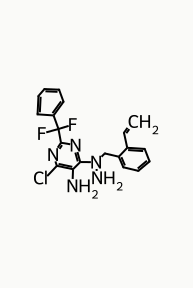 C=Cc1ccccc1CN(N)c1nc(C(F)(F)c2ccccc2)nc(Cl)c1N